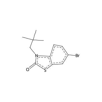 CC(C)(C)Cn1c(=O)sc2cc(Br)ccc21